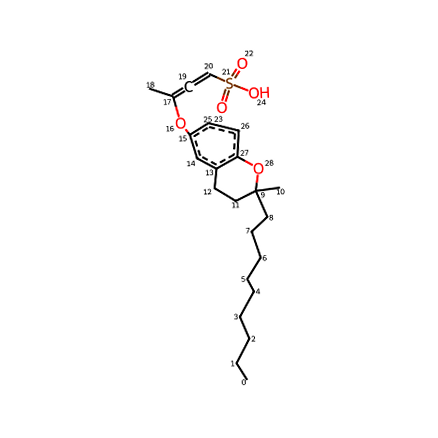 CCCCCCCCCC1(C)CCc2cc(OC(C)=C=CS(=O)(=O)O)ccc2O1